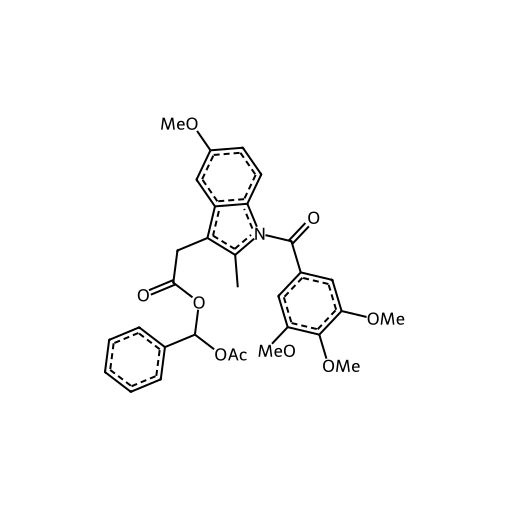 COc1ccc2c(c1)c(CC(=O)OC(OC(C)=O)c1ccccc1)c(C)n2C(=O)c1cc(OC)c(OC)c(OC)c1